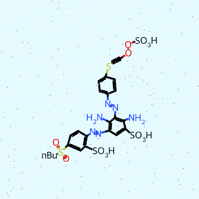 CCCCS(=O)(=O)c1ccc(N=Nc2cc(S(=O)(=O)O)c(N)c(N=Nc3ccc(SC#COOS(=O)(=O)O)cc3)c2N)c(S(=O)(=O)O)c1